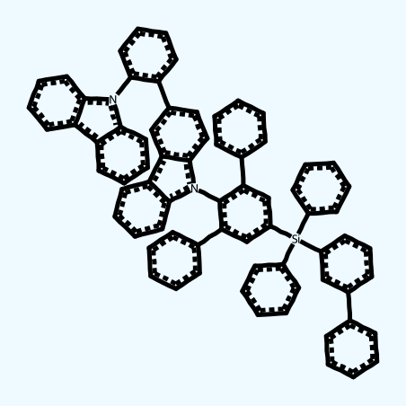 c1ccc(-c2cccc([Si](c3ccccc3)(c3ccccc3)c3cc(-c4ccccc4)c(-n4c5ccccc5c5cc(-c6ccccc6-n6c7ccccc7c7ccccc76)ccc54)c(-c4ccccc4)c3)c2)cc1